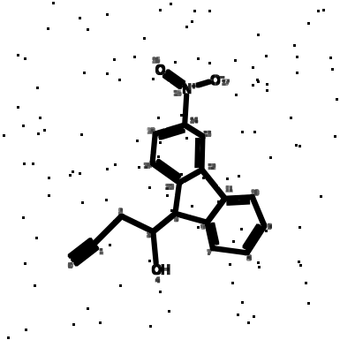 C#CCC(O)C1c2ccccc2-c2cc([N+](=O)[O-])ccc21